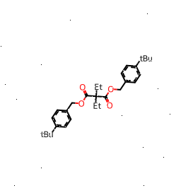 CCC(CC)(C(=O)OCc1ccc(C(C)(C)C)cc1)C(=O)OCc1ccc(C(C)(C)C)cc1